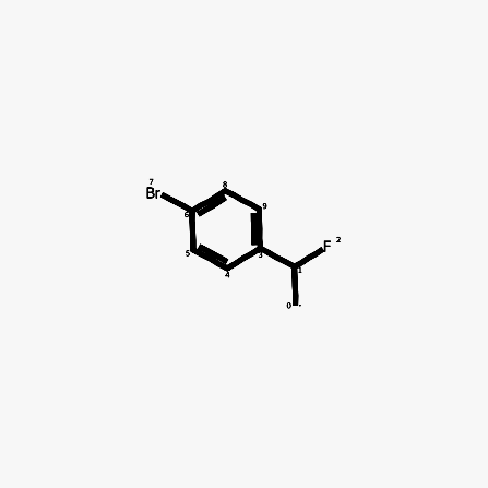 [CH2]C(F)c1ccc(Br)cc1